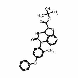 Cc1cc(Oc2ccccc2)ccc1N1C(=O)NC2c3c1ccnc3SC2C(=O)OC(C)(C)C